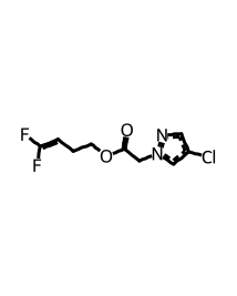 O=C(Cn1cc(Cl)cn1)OCCC=C(F)F